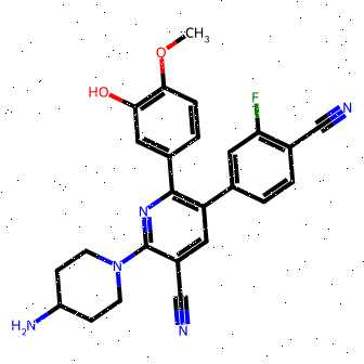 COc1ccc(-c2nc(N3CCC(N)CC3)c(C#N)cc2-c2ccc(C#N)c(F)c2)cc1O